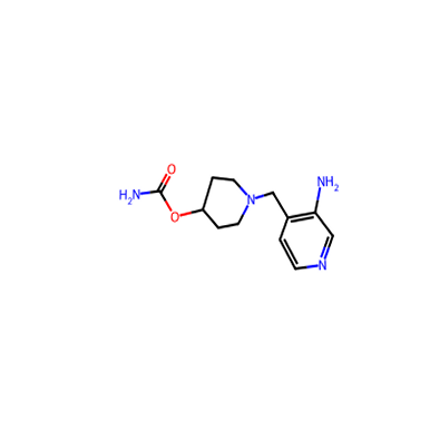 NC(=O)OC1CCN(Cc2ccncc2N)CC1